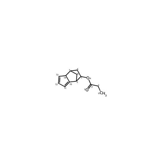 CCC(=O)OC1CC2CC1C1=CC=CC12